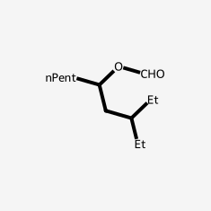 CCCCCC(CC(CC)CC)OC=O